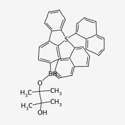 CC(C)(O)C(C)(C)OBc1ccc2c(c1)S(c1cccc3cc#ccc13)(c1cccc3ccccc13)c1ccccc1-2